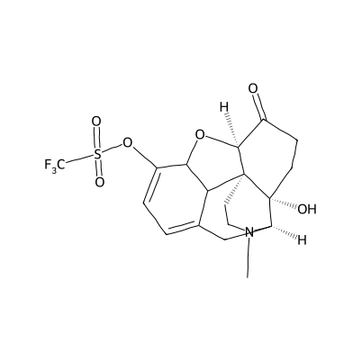 CN1CC[C@]23C4C5=CC=C(OS(=O)(=O)C(F)(F)F)C4O[C@H]2C(=O)CC[C@@]3(O)[C@H]1C5